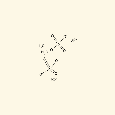 O.O.O=S(=O)([O-])[O-].O=S(=O)([O-])[O-].[Al+3].[Rb+]